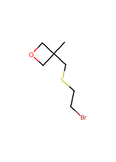 CC1(CSCCBr)COC1